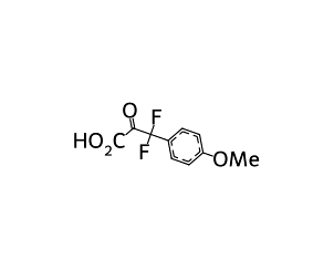 COc1ccc(C(F)(F)C(=O)C(=O)O)cc1